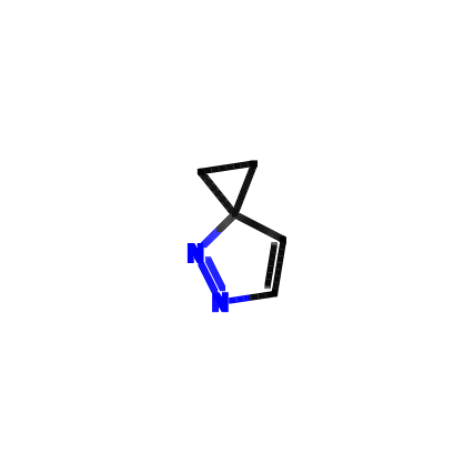 C1=CC2(CC2)N=N1